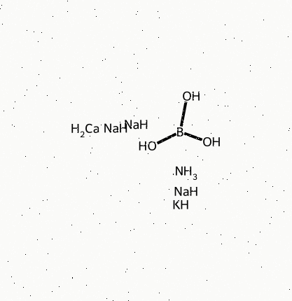 N.OB(O)O.[CaH2].[KH].[NaH].[NaH].[NaH]